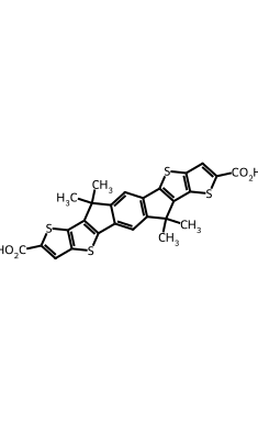 CC1(C)c2cc3c(cc2-c2sc4cc(C(=O)O)sc4c21)C(C)(C)c1c-3sc2cc(C(=O)O)sc12